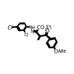 CCOC(=O)/C(=N\Nc1ccc(Cl)cc1Cl)C(C)C(=O)c1ccc(OC)cc1